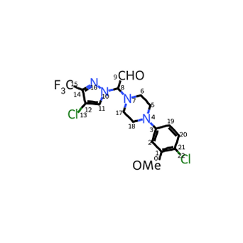 COc1cc(N2CCN(C(C=O)n3cc(Cl)c(C(F)(F)F)n3)CC2)ccc1Cl